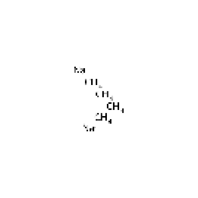 C.C.C.C.[Na].[Na]